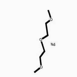 COCCOCCOC.[Nd]